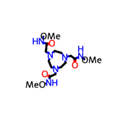 CONC(=O)CN1CCN(CC(=O)NOC)CCN(CC(=O)NOC)CC1